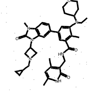 CCN(c1cc(-c2ccc3c(c2)n(C2CN(CC4CC4)C2)c(=O)n3C)cc(C(=O)NCc2c(C)cc(C)[nH]c2=O)c1C)C1CCOCC1